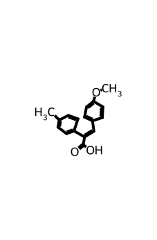 COc1ccc(/C=C(/C(=O)O)c2ccc(C)cc2)cc1